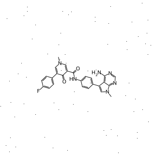 Cn1cc(C(=O)Nc2ccc(-c3cn(C)c4ncnc(N)c34)cc2)c(=O)c(-c2ccc(F)cc2)c1